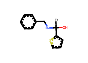 CCC(O)(NCc1ccccc1)c1cccs1